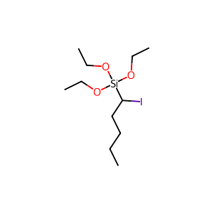 CCCCC(I)[Si](OCC)(OCC)OCC